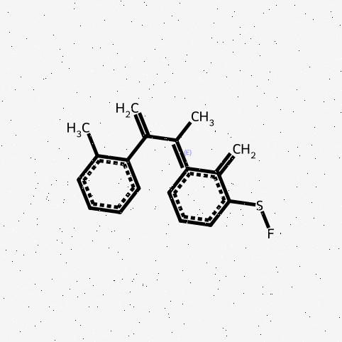 C=C(/C(C)=c1\cccc(SF)c1=C)c1ccccc1C